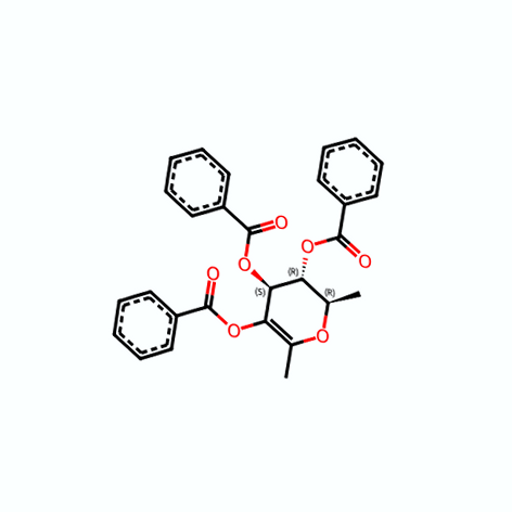 CC1=C(OC(=O)c2ccccc2)[C@@H](OC(=O)c2ccccc2)[C@H](OC(=O)c2ccccc2)[C@@H](C)O1